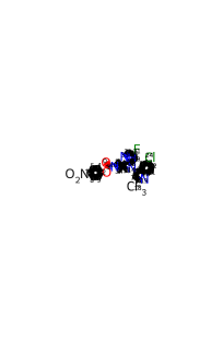 O=C(Oc1ccc([N+](=O)[O-])cc1)N1CC(CNc2cc(C(F)(F)F)nc3ccc(Cl)cc23)(c2ccc(F)cn2)C1